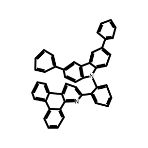 c1ccc(-c2ccc3c(c2)c2cc(-c4ccccc4)ccc2n3-c2ccccc2-c2ccc3c4ccccc4c4ccccc4c3n2)cc1